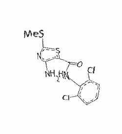 CSc1nc(N)c(C(=O)Nc2c(Cl)cccc2Cl)s1